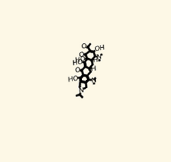 CC(=O)C1=C(O)[C@@H](N(C)C)[C@@H]2C[C@@H]3Cc4c(c(O)c5c(c4N(C)C)CN(C(C)C)C5)C(=O)C3=C(O)[C@]2(O)C1=O